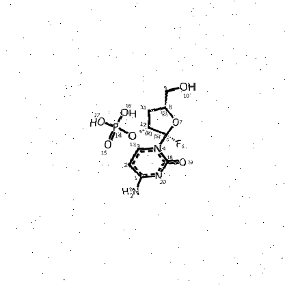 Nc1ccn([C@]2(F)O[C@H](CO)C[C@H]2OP(=O)(O)O)c(=O)n1